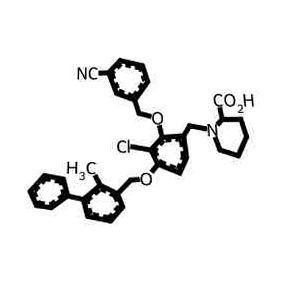 Cc1c(COc2ccc(CN3CCCCC3C(=O)O)c(OCc3cccc(C#N)c3)c2Cl)cccc1-c1ccccc1